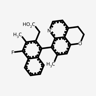 Cc1cc2c3c(ccnc3c1-c1c(CC(=O)O)c(C)c(F)c3ccccc13)CCO2